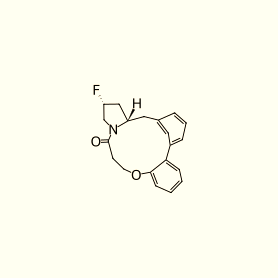 O=C1CCOc2ccccc2-c2cccc(c2)C[C@H]2C[C@@H](F)CN12